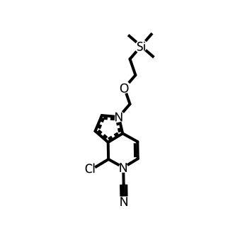 C[Si](C)(C)CCOCn1ccc2c1C=CN(C#N)C2Cl